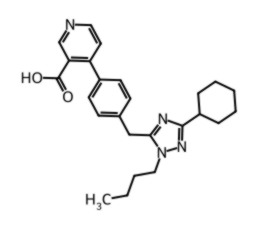 CCCCn1nc(C2CCCCC2)nc1Cc1ccc(-c2ccncc2C(=O)O)cc1